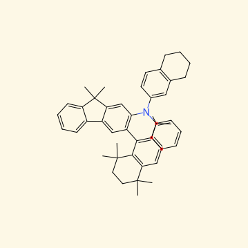 CC(C)c1ccc2c(c1-c1cc3c(cc1N(c1ccccc1)c1ccc4c(c1)CCCC4)C(C)(C)c1ccccc1-3)C(C)(C)CCC2(C)C